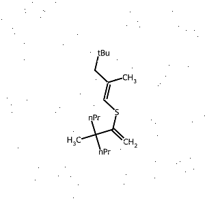 C=C(S/C=C(\C)CC(C)(C)C)C(C)(CCC)CCC